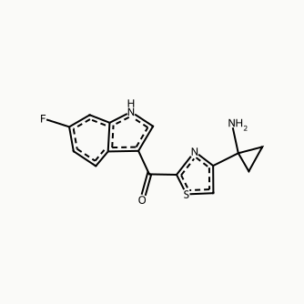 NC1(c2csc(C(=O)c3c[nH]c4cc(F)ccc34)n2)CC1